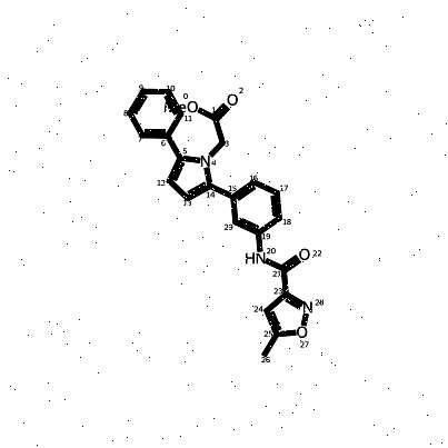 COC(=O)Cn1c(-c2ccccc2)ccc1-c1cccc(NC(=O)c2cc(C)on2)c1